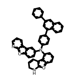 C1=Cc2c(oc3cccc(N(c4ccc(-c5cc(-c6ccccc6)cc6ccccc56)cc4)c4ccc5oc6ncccc6c5c4)c23)NC1